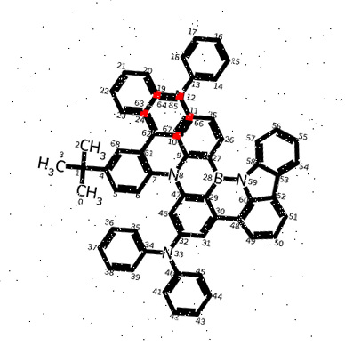 CC(C)(C)c1ccc(N2c3cc(N(c4ccccc4)c4ccccc4)ccc3B3c4c(cc(N(c5ccccc5)c5ccccc5)cc42)-c2cccc4c5ccccc5n3c24)c(-c2ccccc2)c1